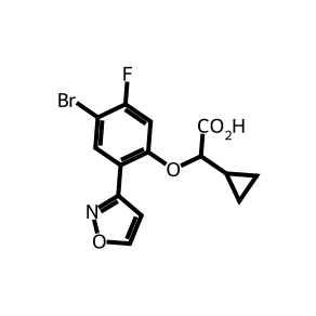 O=C(O)C(Oc1cc(F)c(Br)cc1-c1ccon1)C1CC1